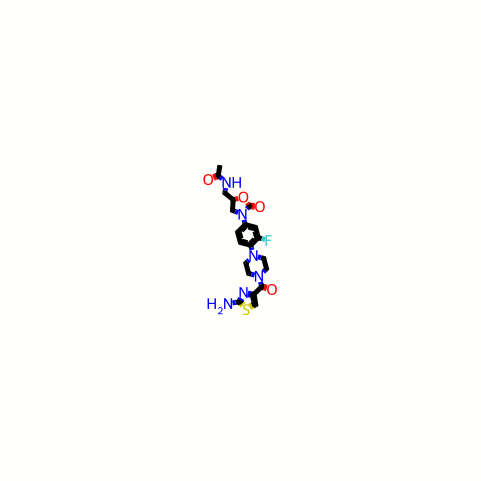 CC(=O)NCC1CN(c2ccc(N3CCN(C(=O)c4csc(N)n4)CC3)c(F)c2)C(=O)O1